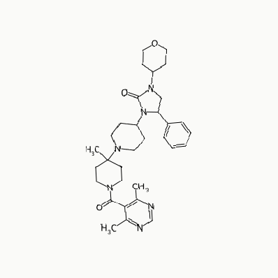 Cc1ncnc(C)c1C(=O)N1CCC(C)(N2CCC(N3C(=O)N(C4CCOCC4)CC3c3ccccc3)CC2)CC1